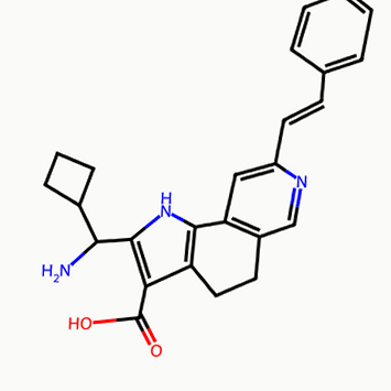 NC(c1[nH]c2c(c1C(=O)O)CCc1cnc(C=Cc3ccccc3)cc1-2)C1CCC1